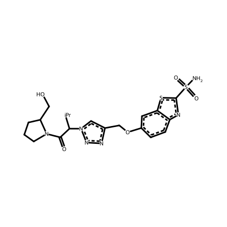 CC(C)C(C(=O)N1CCCC1CO)n1cc(COc2ccc3nc(S(N)(=O)=O)sc3c2)nn1